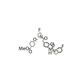 COC(=O)[C@H]1CC[C@H](OC[C@@H]2C[C@H](F)CN2C(=O)Cc2ccc(NC(=O)N3CCc4ccc(F)cc43)c(Cl)c2)CC1